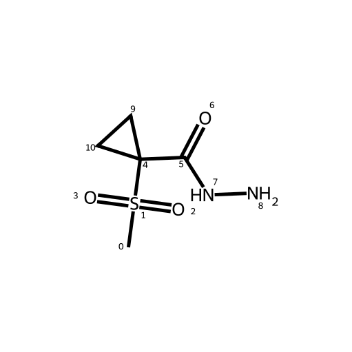 CS(=O)(=O)C1(C(=O)NN)CC1